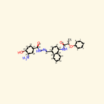 CCC(Oc1ccccc1)C(=O)Nc1ccc(/C=N/NC(=O)c2ccc(O)c(N)c2)c2ccccc12